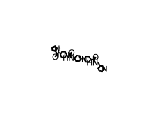 Cn1cccc1C(=O)N1CCN(C(=O)Nc2ccc(N3CCC(C(=O)NCc4cccnc4)CC3)cc2)CC1